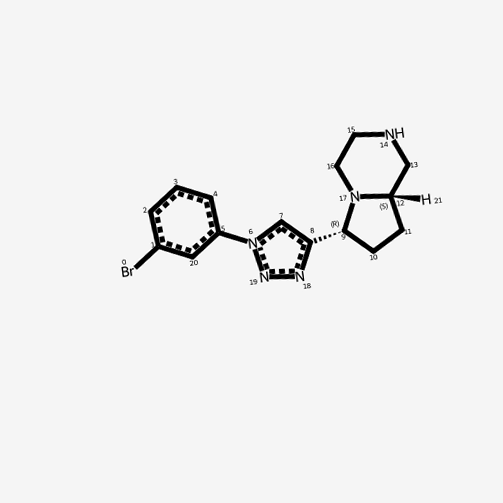 Brc1cccc(-n2cc([C@H]3CC[C@H]4CNCCN43)nn2)c1